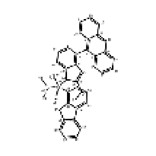 CCC1=Cc2c(-c3c4ccccc4cc4ccccc34)cccc2[CH]1[Zr]([Cl])([Cl])([c]1cccc2c1Cc1ccccc1-2)[SiH](C)C